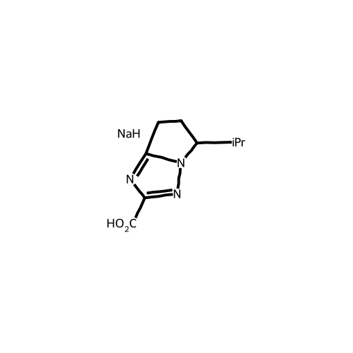 CC(C)C1CCc2nc(C(=O)O)nn21.[NaH]